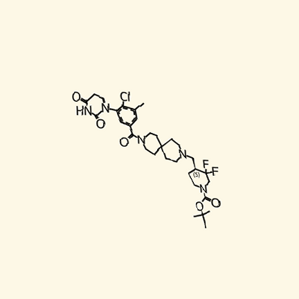 Cc1cc(C(=O)N2CCC3(CCN(C[C@@H]4CCN(C(=O)OC(C)(C)C)CC4(F)F)CC3)CC2)cc(N2CCC(=O)NC2=O)c1Cl